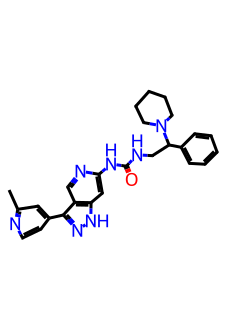 Cc1cc(-c2n[nH]c3cc(NC(=O)NCC(c4ccccc4)N4CCCCC4)ncc23)ccn1